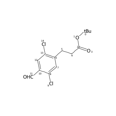 CC(C)(C)OC(=O)CCc1cc(Cl)c(C=O)cc1Cl